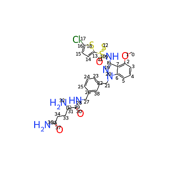 COc1cccc2c1c(NS(=O)(=S)c1ccc(Cl)s1)nn2Cc1cccc(CNC(=O)[C@@H](N)CCC(N)=O)c1